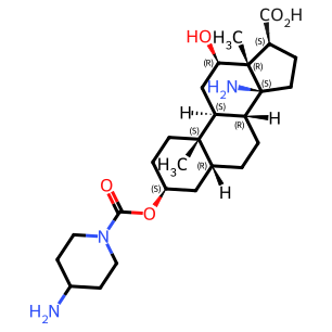 C[C@]12CC[C@H](OC(=O)N3CCC(N)CC3)C[C@H]1CC[C@@H]1[C@@H]2C[C@@H](O)[C@]2(C)[C@@H](C(=O)O)CC[C@]12N